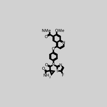 CNC(=O)c1cc2c(Oc3ccc(N(C(=O)C4(C(N)=O)CC4)c4ncc(F)s4)cc3)ccnc2cc1OC